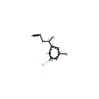 C=CC[C](C)c1cc(C)cc(F)c1